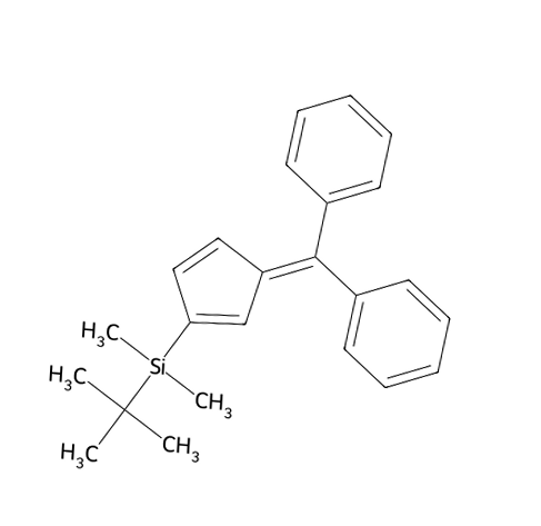 CC(C)(C)[Si](C)(C)C1=CC(=C(c2ccccc2)c2ccccc2)C=C1